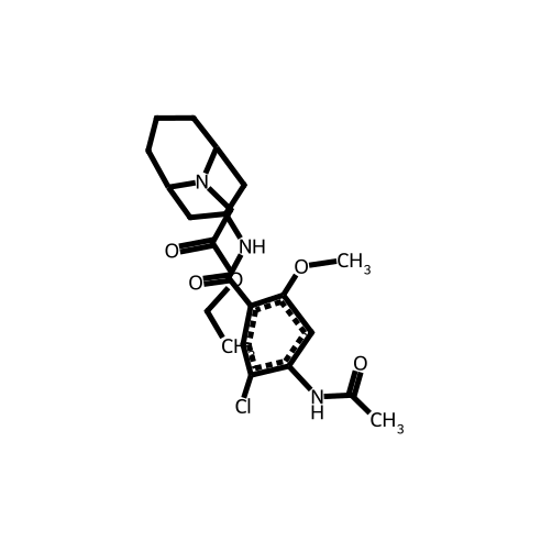 CCOC(=O)CN1C2CCCC1CC(NC(=O)c1cc(Cl)c(NC(C)=O)cc1OC)C2